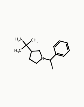 CC(C)(N)C1CCN(C(I)c2ccccc2)C1